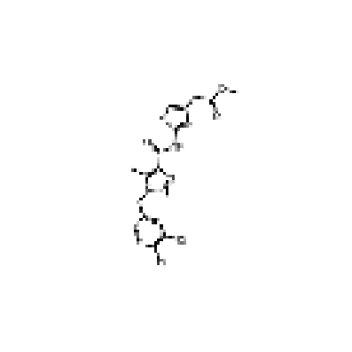 COC(=O)Cc1csc(NC(=O)c2nnn(Cc3ccc(Cl)c(Cl)c3)c2C)n1